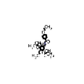 C=CCOc1ccc(C(=O)/C=C/c2cc(OC(C)(C)C)c(CC=C)c(OC(C)(C)C)c2)cc1